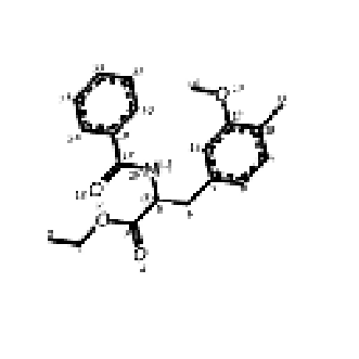 CCOC(=O)[C@H](Cc1ccc(C)c(OC)c1)NC(=O)c1ccccc1